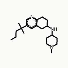 CCCC(C)(C)c1cnc2c(c1)CC(NC1CCN(C)CC1)CC2